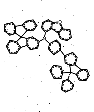 c1ccc(C2(c3ccccc3)c3ccccc3-c3ccc(-c4ccc(N(c5ccc6c(c5)C5(c7ccccc7-c7ccccc75)c5ccccc5-6)c5cccc6oc7ccccc7c56)cc4)cc32)cc1